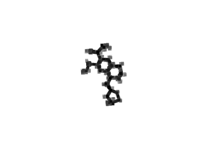 CC(C)Oc1cc2c(O[C@H]3CCNC3)nccc2cc1C(N)=O